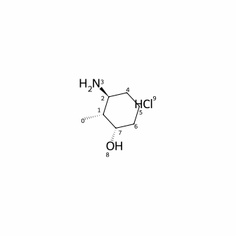 C[C@@H]1[C@@H](N)CCC[C@@H]1O.Cl